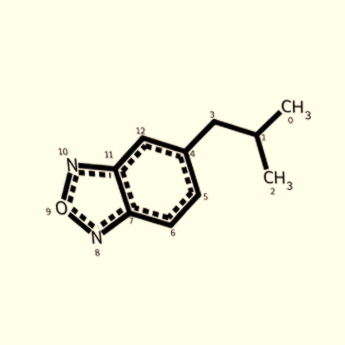 CC(C)Cc1ccc2nonc2c1